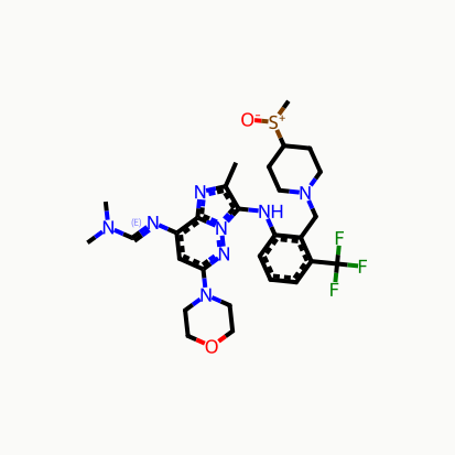 Cc1nc2c(/N=C/N(C)C)cc(N3CCOCC3)nn2c1Nc1cccc(C(F)(F)F)c1CN1CCC([S+](C)[O-])CC1